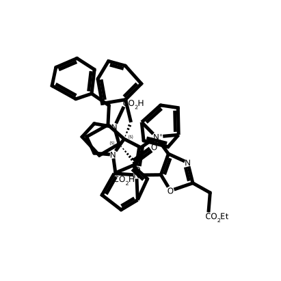 CCOC(=O)Cc1nc([N+]2(C(=O)[C@]3(Cc4ccccc4)C(Cc4ccccc4)CCN3C(=O)O)C3=CC=C2C=C3)c([N+]2(C(=O)[C@@H]3CCCN3C(=O)O)C3=CC=C2C=C3)o1